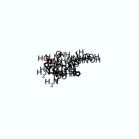 CC[C@H](C)[C@H](NC(=O)[C@@H](NC(=O)[C@H](Cc1c[nH]c2ccccc12)NC(=O)[C@@H](CCCN)NC(=O)CNC(=O)[C@H](CCCN)NC(=O)[C@@H](CCCN)NC(=O)[C@@H](Cc1c[nH]c2ccccc12)NC(=O)[C@@H](Cc1ccc(O)cc1)NC(=O)[C@@H](N)CC(N)=O)[C@@H](C)O)C(=O)NCC(=O)N[C@@H](CO)C(=O)O